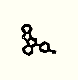 Brc1ccc(-c2nc3c4ccccc4oc3c3ccccc23)cc1